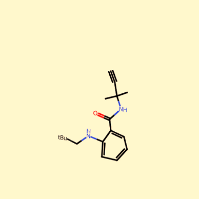 C#CC(C)(C)NC(=O)c1ccccc1NCC(C)(C)C